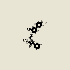 CCOc1c(F)c(-c2ccccc2)nn1CCOc1ccc(-c2ccc(C(F)(F)F)cc2)cc1Cl